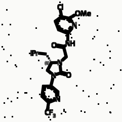 COc1nc(NC(=O)CN2C(=O)N(c3ccc(C(F)(F)F)nc3)C[C@@H]2CC(C)C)ccc1Cl